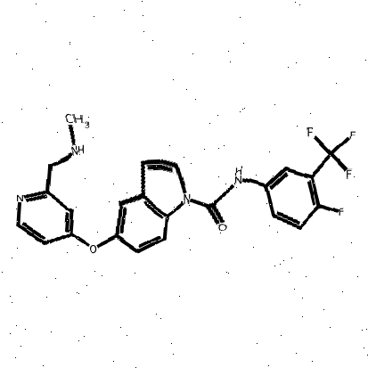 CNCc1cc(Oc2ccc3c(ccn3C(=O)Nc3ccc(F)c(C(F)(F)F)c3)c2)ccn1